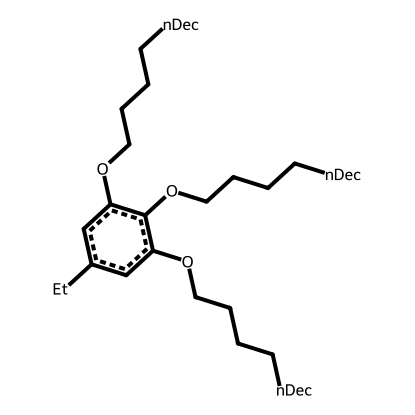 CCCCCCCCCCCCCCOc1cc(CC)cc(OCCCCCCCCCCCCCC)c1OCCCCCCCCCCCCCC